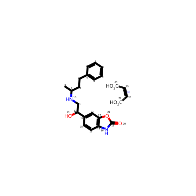 CC(CCc1ccccc1)NCC(O)c1ccc2[nH]c(=O)oc2c1.O=C(O)/C=C\C(=O)O